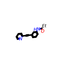 CCC(=O)Nc1cccc(C#Cc2ccccn2)c1